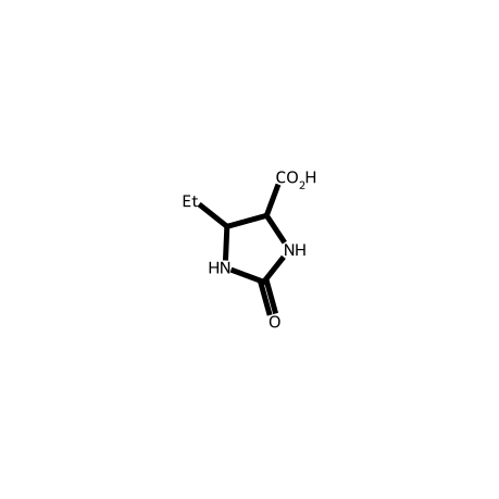 CCC1NC(=O)NC1C(=O)O